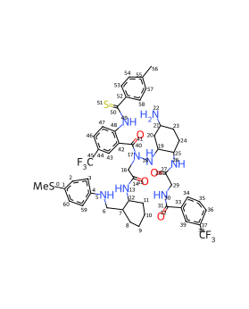 CSc1ccc(NCC2CCCCC2NC(=O)CN(NC2CC(N)CCC2NC(=O)CNC(=O)c2cccc(C(F)(F)F)c2)C(=O)c2cc(C(F)(F)F)ccc2NC(=S)c2ccc(C)cc2)cc1